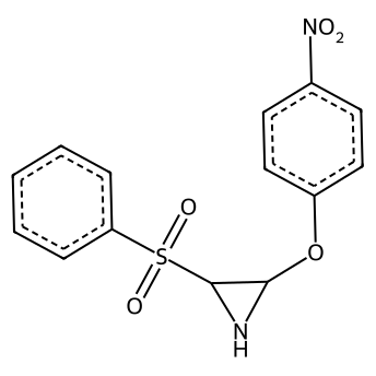 O=[N+]([O-])c1ccc(OC2NC2S(=O)(=O)c2ccccc2)cc1